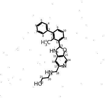 Cc1c(-c2ccccc2)cccc1C1Nc2cc(CNCCO)ncc2O1